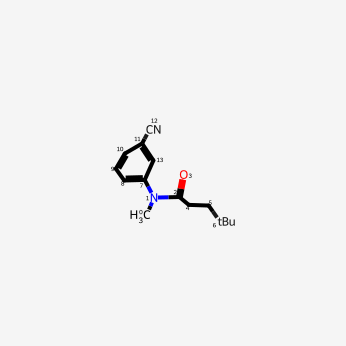 CN(C(=O)CCC(C)(C)C)c1cccc(C#N)c1